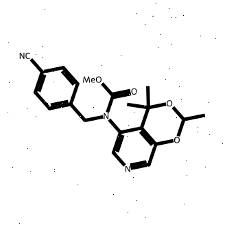 COC(=O)N(Cc1ccc(C#N)cc1)c1cncc2c1C(C)(C)OC(C)O2